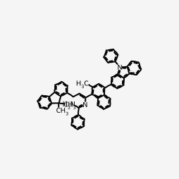 Cc1cc(-c2ccc3c4ccccc4n(-c4ccccc4)c3c2)c2ccccc2c1C(=C/Cc1cccc2c1C(C)(C)c1ccccc1-2)/N=C(\N)c1ccccc1